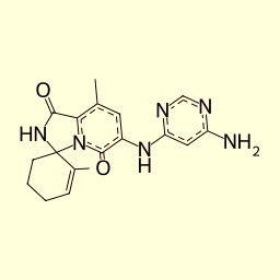 CC1=CCCCC12NC(=O)c1c(C)cc(Nc3cc(N)ncn3)c(=O)n12